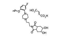 CCCOc1ccc(F)cc1N1CCN(CCCN2C(=O)C3CC(O)C(O)CC3C2=O)CC1.O=C(O)C=CC(=O)O